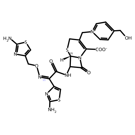 Nc1nc(CO/N=C(\C(=O)NC2C(=O)N3C(C(=O)[O-])=C(C[n+]4ccc(CO)cc4)CS[C@@H]23)c2csc(N)n2)cs1